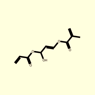 C=CC(=O)OC(O)C=COC(=O)C(=C)C